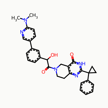 CN(C)c1ccc(-c2cccc(C(O)C(=O)N3CCc4nc(C5(c6ccccc6)CC5)[nH]c(=O)c4C3)c2)cn1